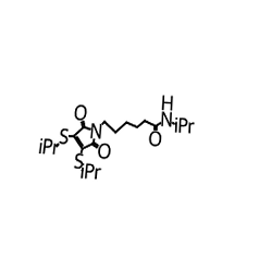 CC(C)NC(=O)CCCCCN1C(=O)C(SC(C)C)=C(SC(C)C)C1=O